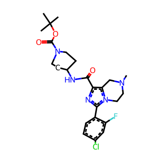 CN1CCn2c(-c3ccc(Cl)cc3F)nc(C(=O)NC3CCN(C(=O)OC(C)(C)C)CC3)c2C1